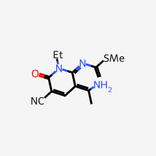 C=C(/N=C1\C(=C(\C)N)C=C(C#N)C(=O)N1CC)SC